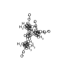 C[SiH]1O[Si](C)(CCCOCC2CO2)O[SiH](C)O[Si](C)(CCCn2c(=O)n(CCC[Si]3(C)O[SiH](C)O[Si](C)(CCCOCC4CO4)O[SiH](C)O3)c(=O)n(CCC[Si]3(C)O[SiH](C)O[Si](C)(CCCOCC4CO4)O[Si](C)(CCCOCC4CO4)O3)c2=O)O1